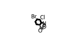 [O-][n+]1onc2c(Cl)c(Br)ccc21